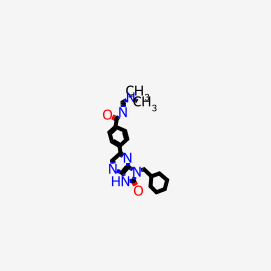 CN(C)/C=N/C(=O)c1ccc(-c2cnc3[nH]c(=O)n(CC4CCCCC4)c3n2)cc1